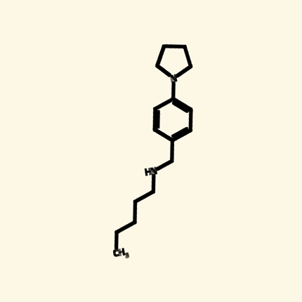 CCCCCNCc1ccc(N2CCCC2)cc1